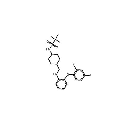 CC(C)(C)S(=O)(=O)NC1CCC(CNc2cccnc2Oc2ccc(F)cc2F)CC1